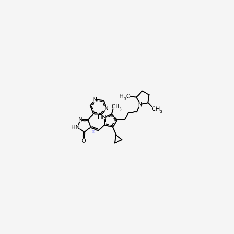 Cc1[nH]c(/C=C2/C(=O)NN=C2c2cncnc2)c(C2CC2)c1CCCN1C(C)CCC1C